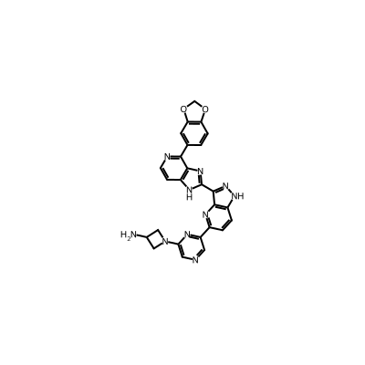 NC1CN(c2cncc(-c3ccc4[nH]nc(-c5nc6c(-c7ccc8c(c7)OCO8)nccc6[nH]5)c4n3)n2)C1